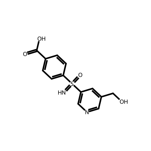 N=S(=O)(c1ccc(C(=O)O)cc1)c1cncc(CO)c1